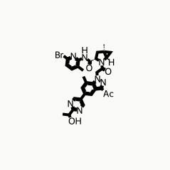 CC(=O)c1nn(CC(=O)N2[C@H](C(=O)Nc3nc(Br)ccc3C)C[C@@]3(C)C[C@@H]23)c2c(C)cc(-c3cnc(C(C)O)nc3)cc12